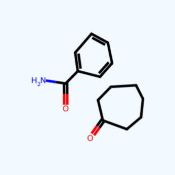 NC(=O)c1ccccc1.O=C1CCCCCC1